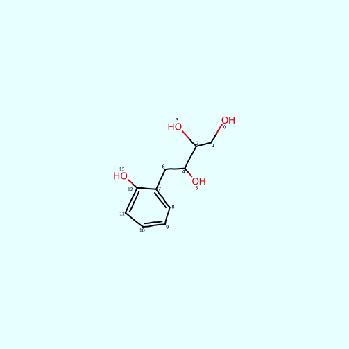 OCC(O)C(O)Cc1ccccc1O